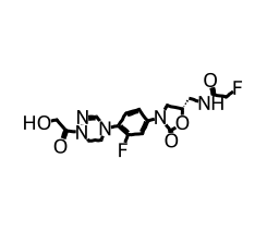 O=C(CF)NC[C@H]1CN(c2ccc(N3C=NN(C(=O)CO)CC3)c(F)c2)C(=O)O1